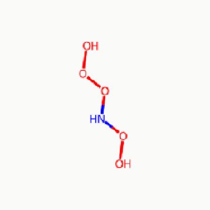 OONOOO